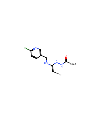 CNC(=O)NNC(=C[N+](=O)[O-])NCc1ccc(Cl)nc1